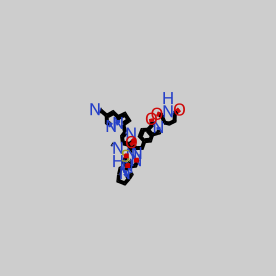 CNc1cc(-c2ccc3cc(C#N)cnn23)ncc1-c1nnc(N2CC3CCC(C2)N3C2CCN(C(=O)Cc3ccc4c(c3)CN(C3CCC(=O)NC3=O)C4=O)CC2)s1